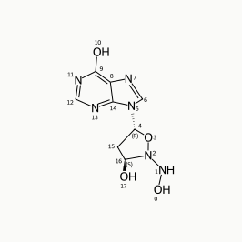 ONN1O[C@@H](n2cnc3c(O)ncnc32)C[C@@H]1O